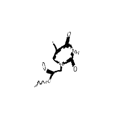 COC(=O)Cn1cc(I)c(=O)[nH]c1=O